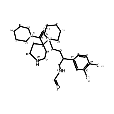 O=CNCC(CC[N+]1(C2(C(=O)N3CCCCC3)CCNCC2)CCCCC1)c1ccc(Cl)c(Cl)c1